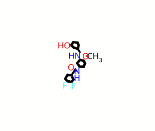 COc1ccc(NC(=O)c2ccc(F)c(F)c2)cc1NCc1cccc(O)c1